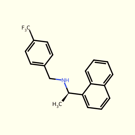 C[C@@H](NCc1ccc(C(F)(F)F)cc1)c1cccc2ccccc12